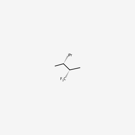 CC(C)[C@@H](C)[C@H](C)C(F)(F)F